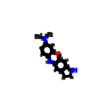 CC[N+](CC)=c1ccc2nc3cc4c(cc3oc-2c1)NCC4